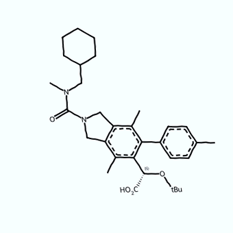 Cc1ccc(-c2c(C)c3c(c(C)c2[C@H](OC(C)(C)C)C(=O)O)CN(C(=O)N(C)CC2CCCCC2)C3)cc1